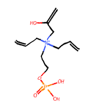 C=CC[N+](CC=C)(CCOP(=O)(O)O)CC(=C)O